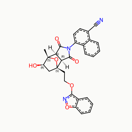 C[C@@]12O[C@@](CCOc3noc4ccccc34)(C[C@H]1O)[C@@H]1C(=O)N(c3ccc(C#N)c4ccccc34)C(=O)[C@@H]12